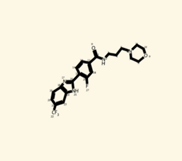 O=C(NCCCN1CCOCC1)c1ccc(-c2nc3ccc(C(F)(F)F)cc3[nH]2)c(F)c1